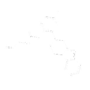 O=CONC(=O)Cc1ccc(Cl)cc1N1CCc2c([nH]c3cc(Cl)ccc23)C1